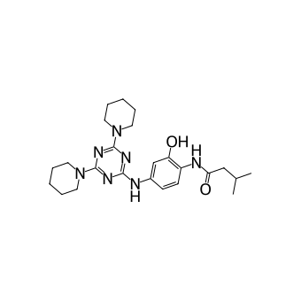 CC(C)CC(=O)Nc1ccc(Nc2nc(N3CCCCC3)nc(N3CCCCC3)n2)cc1O